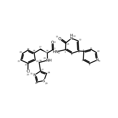 O=C(Nc1cc(-c2ccncc2)c[nH]c1=O)[C@H](Cc1cccc(Cl)c1)NCc1cscn1